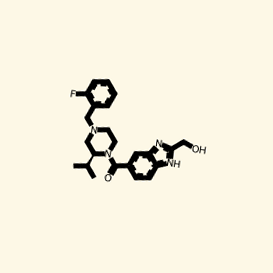 CC(C)[C@H]1CN(Cc2ccccc2F)CCN1C(=O)c1ccc2[nH]c(CO)nc2c1